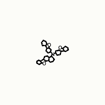 c1ccc2c(c1)oc1cc(N(c3ccc4c(c3)oc3ccccc34)c3cccc4c3ccc3c5ccccc5oc43)ccc12